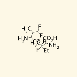 CC(C(F)F)C(N)C(=O)O.CCC(C)(F)C(N)C(=O)O